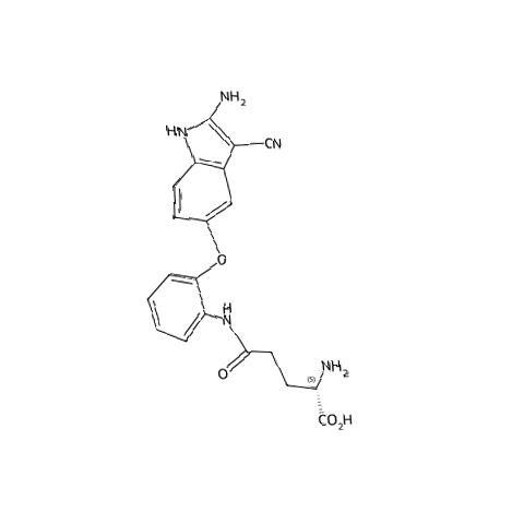 N#Cc1c(N)[nH]c2ccc(Oc3ccccc3NC(=O)CC[C@H](N)C(=O)O)cc12